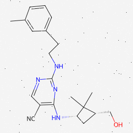 Cc1cccc(CCNc2ncc(C#N)c(N[C@H]3C[C@@H](CO)C3(C)C)n2)c1